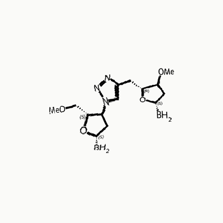 B[C@H]1CC(OC)[C@@H](Cc2cn(C3C[C@H](B)O[C@@H]3COC)nn2)O1